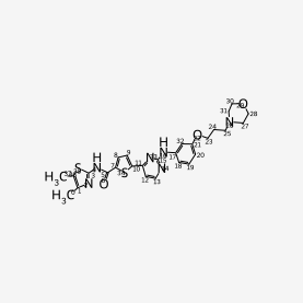 Cc1nc(NC(=O)c2ccc(-c3ccnc(Nc4cccc(OCCCN5CCOCC5)c4)n3)s2)sc1C